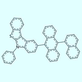 c1ccc(-n2c3ccc(-c4c5ccccc5c(-c5cccc6ccccc56)c5ccccc45)cc3c3c4ccccc4sc32)cc1